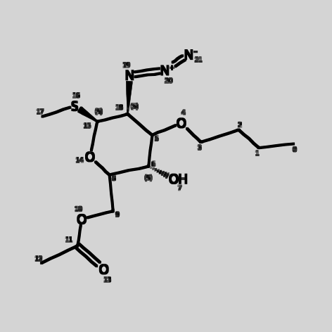 CCCCOC1[C@H](O)C(COC(C)=O)O[C@@H](SC)[C@H]1N=[N+]=[N-]